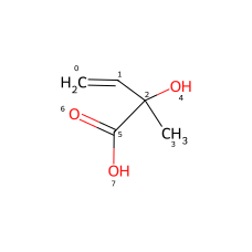 C=CC(C)(O)C(=O)O